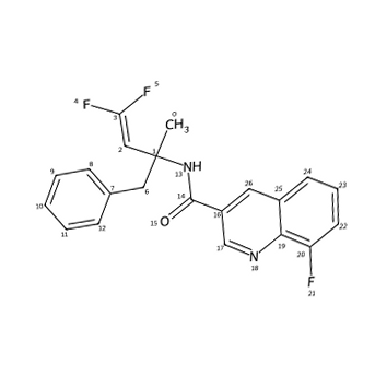 CC(C=C(F)F)(Cc1ccccc1)NC(=O)c1cnc2c(F)cccc2c1